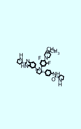 C[Si]1(C)CCN(c2c(F)cc(N3[C@H](c4ccc(NC(=O)[C@@H]5CCCN5)cc4)CC[C@H]3c3ccc4nc([C@@H]5CCCN5)[nH]c4c3)cc2F)CC1